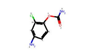 NC(=O)Oc1ccc(N)cc1Cl